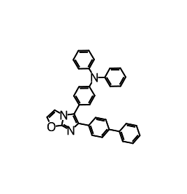 c1ccc(-c2ccc(-c3nc4occn4c3-c3ccc(N(c4ccccc4)c4ccccc4)cc3)cc2)cc1